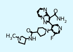 CN1CCC(NC(=O)C2CCN(c3c(F)cncc3-c3nn4cccnc4c3C(N)=O)CC2)C1